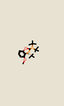 COc1cccc2c1[P@@](C(C)(C)C)C(P(C(C)(C)C)C(C)(C)C)O2